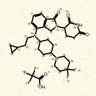 O=C(O)C(F)(F)F.O=C1CCC(N2Cc3c(cccc3N(CCC3CC3)C3CCC(N4CCC(F)(F)CC4)CC3)C2=O)C(=O)N1